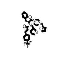 O=C([C@H](Cc1ccccc1)N(Cc1cccnc1)C(=O)/C=C/c1ccc(C(F)(F)F)cc1)N1CCN(Cc2ccco2)CC1